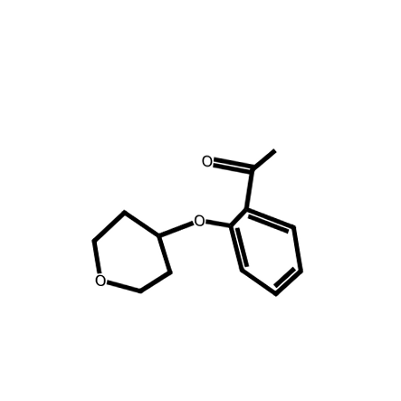 CC(=O)c1ccccc1OC1CCOCC1